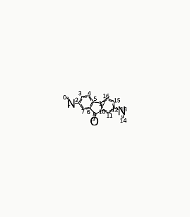 C=Nc1ccc2c(c1)C(=O)c1cc(N=C)ccc1-2